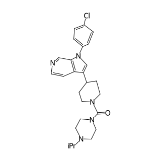 CC(C)N1CCN(C(=O)N2CCC(c3cn(-c4ccc(Cl)cc4)c4cnccc34)CC2)CC1